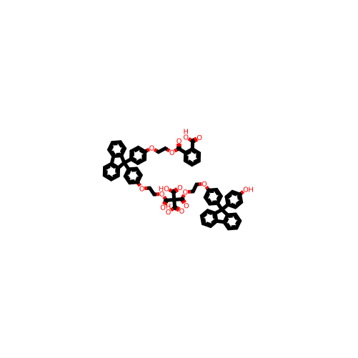 O=C(O)c1ccccc1C(=O)OCCOc1ccc(C2(c3ccc(OCCOC(=O)C(C(=O)O)(C(=O)O)C(=O)OCCOc4ccc(C5(c6ccc(O)cc6)c6ccccc6-c6ccccc65)cc4)cc3)c3ccccc3-c3ccccc32)cc1